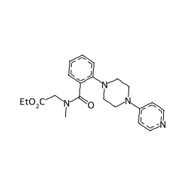 CCOC(=O)CN(C)C(=O)c1ccccc1N1CCN(c2ccncc2)CC1